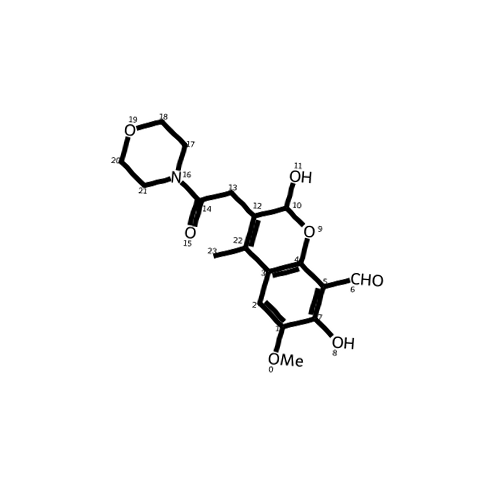 COc1cc2c(c(C=O)c1O)OC(O)C(CC(=O)N1CCOCC1)=C2C